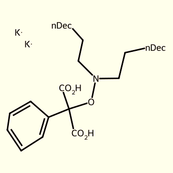 CCCCCCCCCCCCN(CCCCCCCCCCCC)OC(C(=O)O)(C(=O)O)c1ccccc1.[K].[K]